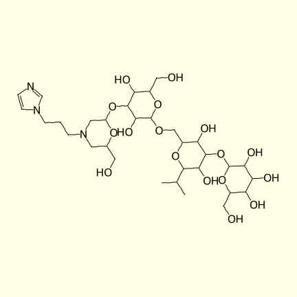 CC(C)C1OC(COC2OC(CO)C(O)C(OC3CN(CCCn4ccnc4)CC(CO)O3)C2O)C(O)C(OC2OC(CO)C(O)C(O)C2O)C1O